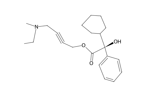 CCN(C)CC#CCOC(=O)[C@@](O)(c1ccccc1)C1CCCCC1